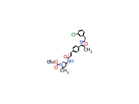 Cc1oc(Cc2cccc(Cl)c2)nc1-c1ccc(/C=C/C(=O)N[C@@H]2C[C@@H](C)N(C(=O)OC(C)(C)C)C2)cc1